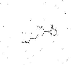 CCCCCCCCCCC(C)[n+]1ccc[nH]1